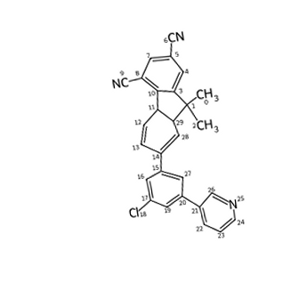 CC1(C)c2cc(C#N)cc(C#N)c2C2C=CC(c3cc(Cl)cc(-c4cccnc4)c3)=CC21